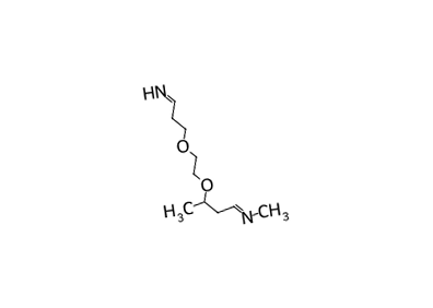 C/N=C/CC(C)OCCOCCC=N